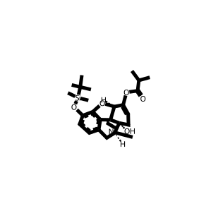 CC(C)C(=O)OC1=CC[C@@]2(O)[C@H]3Cc4ccc(O[Si](C)(C)C(C)(C)C)c5c4[C@@]2(CCN3C)[C@H]1O5